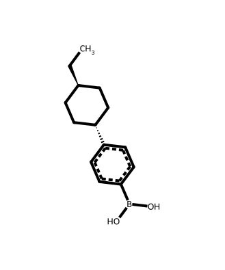 CC[C@H]1CC[C@H](c2ccc(B(O)O)cc2)CC1